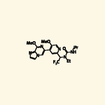 CCN(C(=O)NC(C)C)C(c1cc(-c2cn3ccnc3c(OC)n2)c(OC)cn1)C(F)(F)F